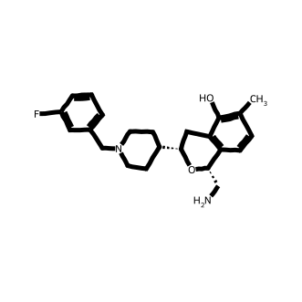 Cc1ccc2c(c1O)C[C@@H](C1CCN(Cc3cccc(F)c3)CC1)O[C@H]2CN